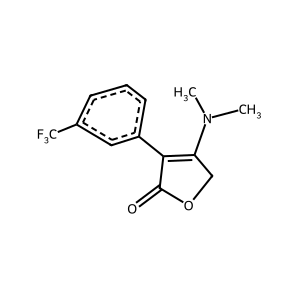 CN(C)C1=C(c2cccc(C(F)(F)F)c2)C(=O)OC1